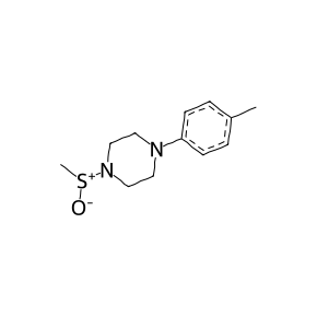 Cc1ccc(N2CCN([S+](C)[O-])CC2)cc1